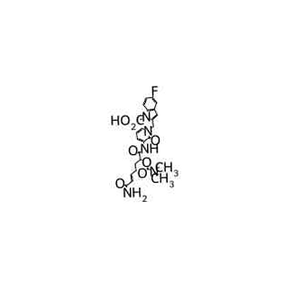 CN(C)C(=O)OC(CCC=CC(N)=O)C(=O)Nc1cccn(Cc2cc3cc(F)ccc3n2C(=O)O)c1=O